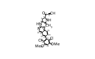 C#CC(=O)C1C[C@@H](Nc2ncc3cc(-c4c(Cl)c(OC)cc(OC)c4Cl)ccc3n2)[C@H](C)N1